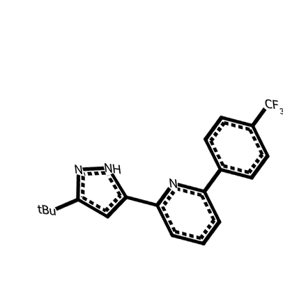 CC(C)(C)c1cc(-c2cccc(-c3ccc(C(F)(F)F)cc3)n2)[nH]n1